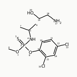 COP(=S)(NC(C)C)Oc1ccc(Cl)cc1Cl.NCCO